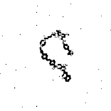 CNc1nc(-c2cnc3ccccc3c2)nc2c1CCN(C(=O)c1ccc(/C=C/c3ccc(C#CCN4CCN(C(=O)CCCCC(=O)N[C@H](C(=O)N5C[C@H](OC)C[C@H]5C(=O)NCc5ccc(-c6scnc6C)cc5)C(C)(C)C)CC4)cc3)cc1)C2